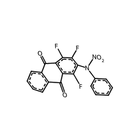 O=C1c2ccccc2C(=O)c2c(F)c(N(c3ccccc3)[N+](=O)[O-])c(F)c(F)c21